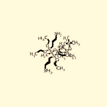 CCO[Si](CC=CN)(OCC)[Si](C)(O[Si](C)(C)O[Si](C)(C)O[Si](C)(C)C)[Si](CC=CN)(OCC)OCC